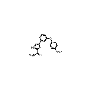 CNC(=O)c1cc(-c2cc(Oc3ccc(NC)cc3)ccn2)c[nH]1